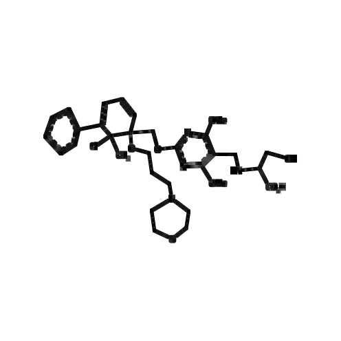 COc1nc(OCC2(OCCCN3CCOCC3)C=CC=C(c3ccccc3)C2(C)Cl)nc(OC)c1CNC(CO)C(=O)O